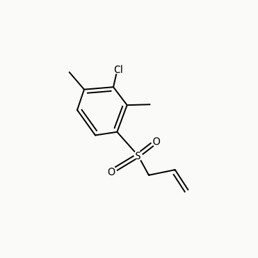 C=CCS(=O)(=O)c1ccc(C)c(Cl)c1C